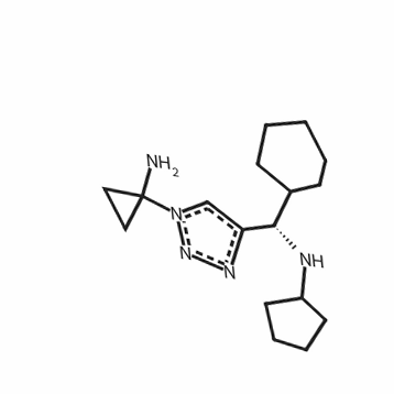 NC1(n2cc([C@@H](NC3CCCC3)C3CCCCC3)nn2)CC1